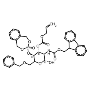 C=CCOC(=O)O[C@@H]1C(NC(=O)OCC2c3ccccc3-c3ccccc32)[C@H](O)OC(COCc2ccccc2)[C@H]1OP1(=O)OCc2ccccc2CO1